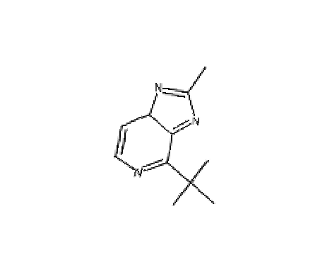 CC1=NC2C=CN=C(C(C)(C)C)C2=N1